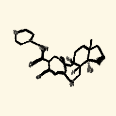 C[C@@]12CCC[C@H]1[C@@H]1CNC3=CC(=O)C(C(=O)NN4CCOCC4)C[C@]3(C)[C@@H]1CC2